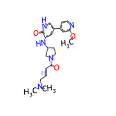 COc1cc(-c2c[nH]c(=O)c(NC3CCN(C(=O)/C=C/CN(C)C)C3)c2)ccn1